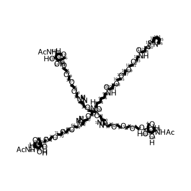 CC(=O)N[C@H]1[C@H]2OC[C@](COCCOCCOCCOCCn3cc(COCC(COCc4cn(CCOCCOCCOCCOC[C@@]56CO[C@@H](O5)[C@H](NC(C)=O)[C@@H](O)[C@H]6O)nn4)(COCc4cn(CCOCCOCCOCCOC[C@@]56CO[C@@H](O5)[C@H](NC(C)=O)[C@@H](O)[C@H]6O)nn4)NC(=O)CCCCCNC(=O)CCOCCOCCOCCOCCNC(=O)CCSSc4ccccn4)nn3)(O2)[C@H](O)[C@@H]1O